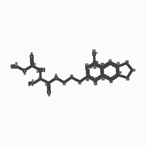 CC(C)C(NC(=O)OC(C)(C)C)C(=O)OCCCc1nc2cc3c(cc2[n+]([O-])n1)CCC3